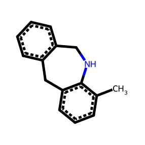 Cc1cccc2c1NCc1ccccc1C2